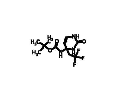 CC(C)(C)OC(=O)NC1(CC(F)(F)F)C=CNC(=O)N1